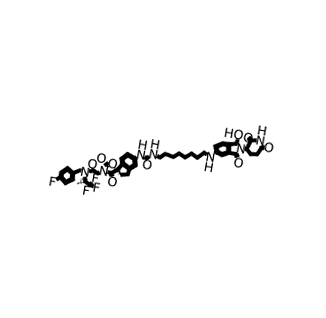 C[C@H](N(Cc1ccc(F)cc1)C(=O)CN1C(=O)O[C@@]2(CCc3cc(NC(=O)NCCCCCCCCNc4ccc5c(c4)C(=O)N(C4CCC(=O)NC4=O)C5O)ccc32)C1=O)C(F)(F)F